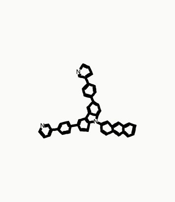 c1cncc(-c2ccc(-c3ccc4c(c3)c3cc(-c5ccc(-c6cccnc6)cc5)ccc3n4-c3ccc4cc5ccccc5cc4c3)cc2)c1